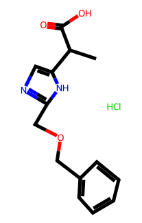 CC(C(=O)O)c1cnc(COCc2ccccc2)[nH]1.Cl